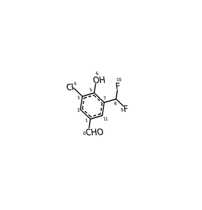 O=Cc1cc(Cl)c(O)c(C(F)F)c1